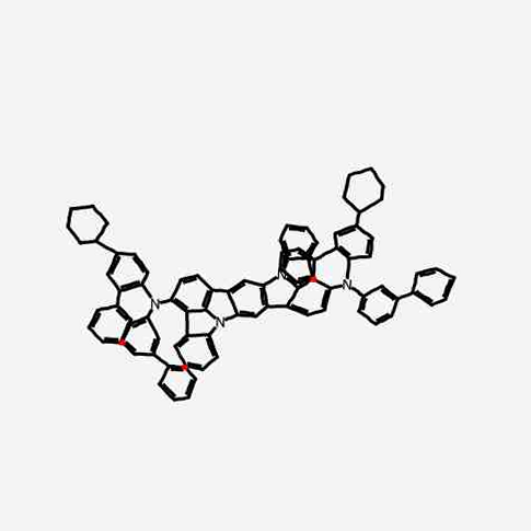 c1ccc(-c2cccc(N(c3ccc(C4CCCCC4)cc3-c3ccccc3)c3ccc4c5cc6c(cc5n5c7ccccc7c3c45)c3ccc(N(c4cccc(-c5ccccc5)c4)c4ccc(C5CCCCC5)cc4-c4ccccc4)c4c5ccccc5n6c34)c2)cc1